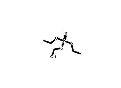 CCOP(=S)(OCC)SCO